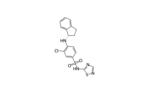 O=S(=O)(Nc1ncns1)c1ccc(N[C@H]2CCc3ccccc32)c(Cl)c1